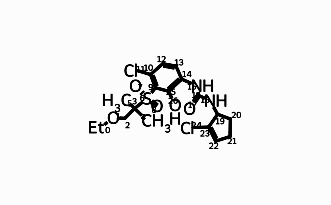 CCOCC(C)(C)S(=O)(=O)c1c(Cl)ccc(NC(=O)NC2CCC=C2Cl)c1O